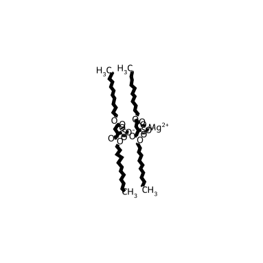 CCCCCCCCCCCCOC(=O)CC(C(=O)OCCCCCCCCCCCC)S(=O)(=O)[O-].CCCCCCCCCCCCOC(=O)CC(C(=O)OCCCCCCCCCCCC)S(=O)(=O)[O-].[Mg+2]